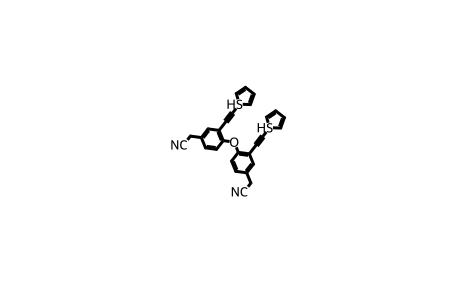 N#CCc1ccc(Oc2ccc(CC#N)cc2C#C[SH]2C=CC=C2)c(C#C[SH]2C=CC=C2)c1